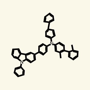 Cc1ccccc1-c1ccc(N(c2ccc(-c3ccccc3)cc2)c2ccc(-c3ccc4c(c3)c3ccccc3n4-c3ccccc3)cc2)cc1C